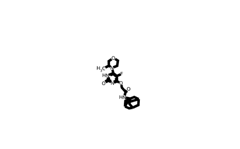 CC1COCCN1c1[nH]c(=O)nc(OCC(=O)NC23CC4CC(CC(C4)C2)C3)c1F